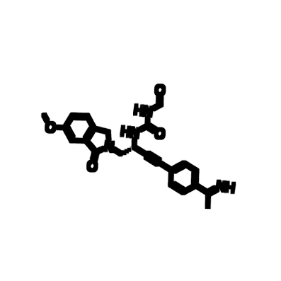 COc1ccc2c(c1)C(=O)N(C[C@@H](C#Cc1ccc(C(C)=N)cc1)NC(=O)NC=O)C2